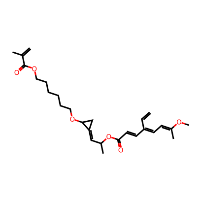 C=CC(/C=C/C(=O)OC(C)/C=C1\CC1OCCCCCCOC(=O)C(=C)C)=C\C=C(/C)OC